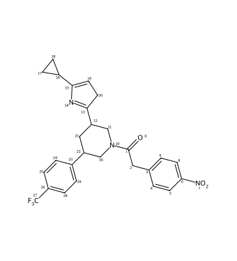 O=C(Cc1ccc([N+](=O)[O-])cc1)N1CC(C2=NC(C3CC3)=CC2)CC(c2ccc(C(F)(F)F)cc2)C1